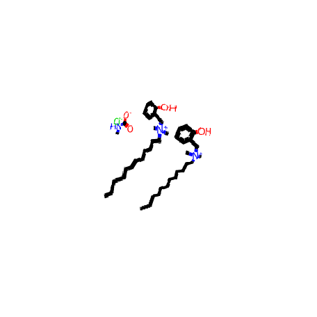 CCCCCCCCCCCC[N+](C)(C)Cc1ccccc1O.CCCCCCCCCCCC[N+](C)(C)Cc1ccccc1O.CNC(=O)[O-].[Cl-]